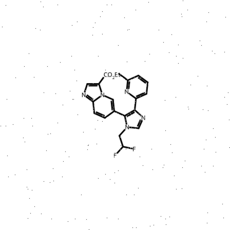 CCOC(=O)c1cnc2ccc(-c3c(-c4cccc(C)n4)ncn3CC(F)F)cn12